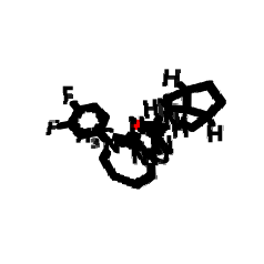 Cc1noc(N2C[C@H]3CC[C@@H](C2)[C@@H]3Nc2nc3n(n2)CCCCN3c2ccc(F)c(F)c2)n1